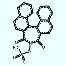 O=c1c2ccc3ccccc3c2c2c(ccc3ccccc32)c(=O)n1OS(=O)(=O)C(F)(F)F